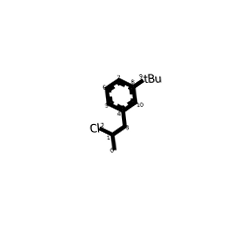 CC(Cl)Cc1cccc(C(C)(C)C)c1